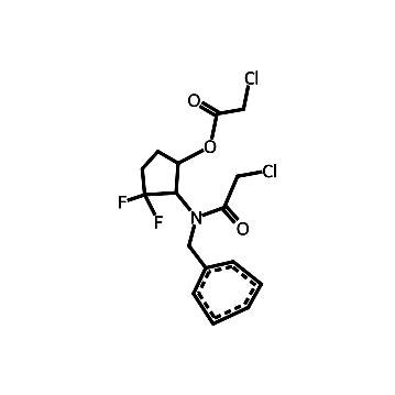 O=C(CCl)OC1CCC(F)(F)C1N(Cc1ccccc1)C(=O)CCl